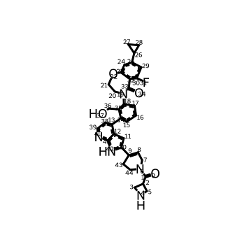 O=C(C1CNC1)N1CC=C(c2cc3c(-c4cccc(N5CCOc6cc(C7CC7)cc(F)c6C5=O)c4CO)ccnc3[nH]2)CC1